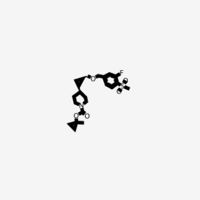 CC1(OC(=O)N2CCC([C@H]3C[C@@H]3COCc3ccc(S(C)(=O)=O)c(F)c3)CC2)CC1